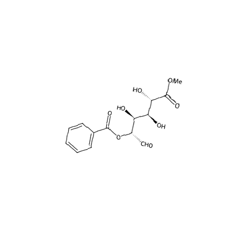 COC(=O)[C@@H](O)[C@@H](O)[C@H](O)[C@H](C=O)OC(=O)c1ccccc1